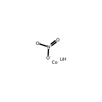 O=[N+]([O-])[O-].[Co].[LiH]